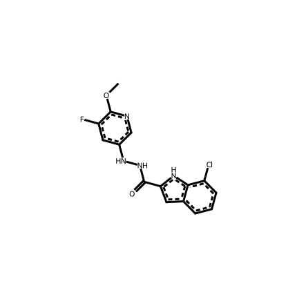 COc1ncc(NNC(=O)c2cc3cccc(Cl)c3[nH]2)cc1F